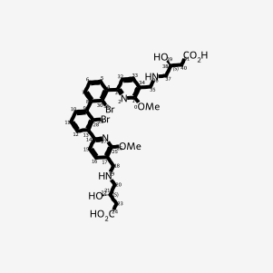 COc1nc(-c2cccc(-c3cccc(-c4ccc(CNC[C@@H](O)CC(=O)O)c(OC)n4)c3Br)c2Br)ccc1CNC[C@@H](O)CC(=O)O